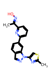 C/C(=N\O)c1cccc(-c2ccc3cnn(-c4csc(C)n4)c3c2)n1